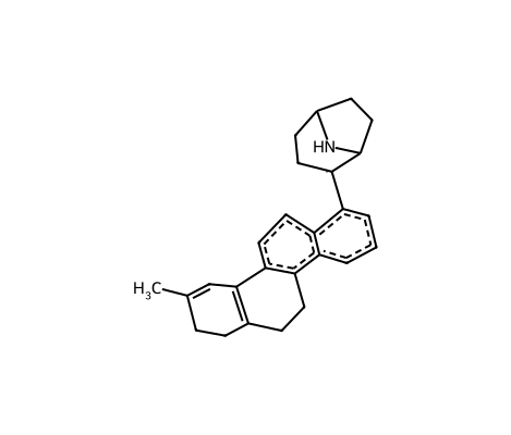 CC1=CC2=C(CC1)CCc1c2ccc2c([C]3CCC4CCC3N4)cccc12